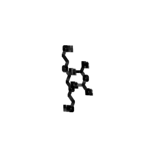 CCC(CC)OC(CC)CC.OCCOCCOCCO